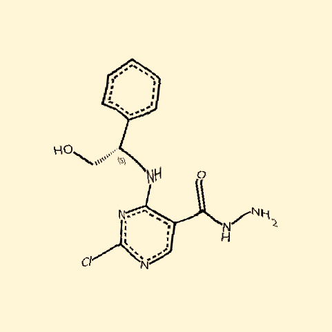 NNC(=O)c1cnc(Cl)nc1N[C@H](CO)c1ccccc1